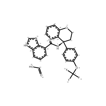 O=C(N[C@]1(c2ccc(OC(F)(F)F)cc2)CCOc2cccnc21)c1cccc2[nH]cnc12.O=CO